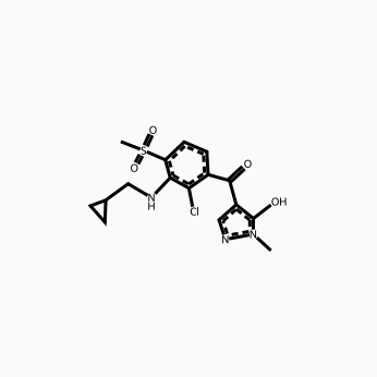 Cn1ncc(C(=O)c2ccc(S(C)(=O)=O)c(NCC3CC3)c2Cl)c1O